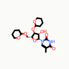 Cc1cn([C@@H]2O[C@H](COC3CCCCO3)[C@@H](OC3CCCCO3)[C@@H]2O)c(=O)[nH]c1=O